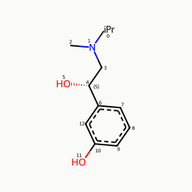 CC(C)N(C)C[C@@H](O)c1cccc(O)c1